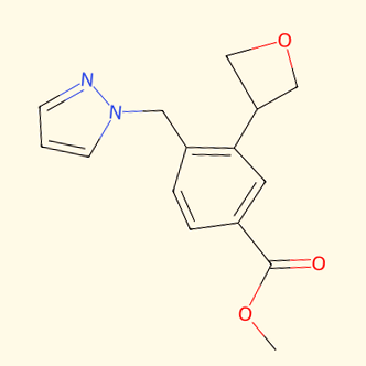 COC(=O)c1ccc(Cn2cccn2)c(C2COC2)c1